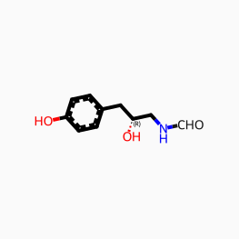 O=CNC[C@H](O)Cc1ccc(O)cc1